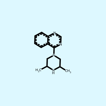 CC1CN(c2ncnc3ccccc23)CC(C)N1